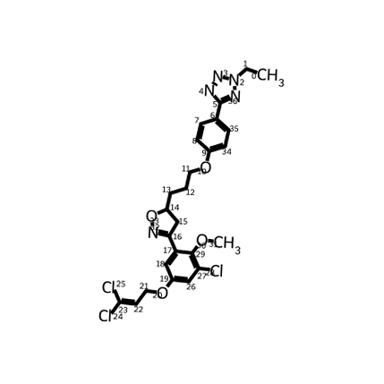 CCn1nnc(-c2ccc(OCCCC3CC(c4cc(OCC=C(Cl)Cl)cc(Cl)c4OC)=NO3)cc2)n1